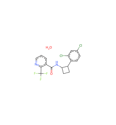 O.O=C(NC1CCC1c1ccc(Cl)cc1Cl)c1cccnc1C(F)(F)F